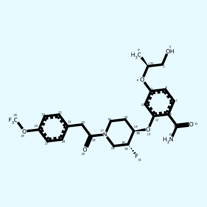 C[C@@H](CO)Oc1ccc(C(N)=O)c(O[C@@H]2CCN(C(=O)Cc3ccc(OC(F)(F)F)cc3)C[C@H]2F)c1